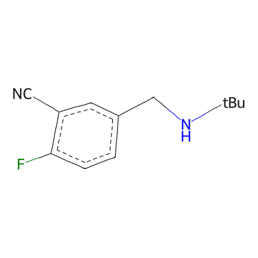 CC(C)(C)NCc1ccc(F)c(C#N)c1